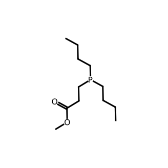 CCCCP(CCCC)CCC(=O)OC